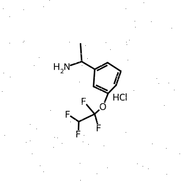 CC(N)c1cccc(OC(F)(F)C(F)F)c1.Cl